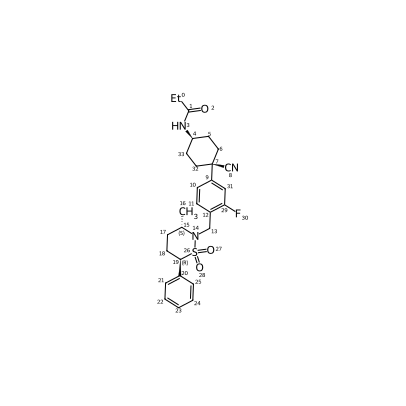 CCC(=O)N[C@H]1CC[C@](C#N)(c2ccc(CN3[C@@H](C)CC[C@H](c4ccccc4)S3(=O)=O)c(F)c2)CC1